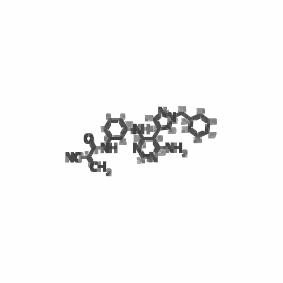 C=C(C#N)C(=O)Nc1cccc(Nc2ncnc(N)c2-c2cnn(Cc3ccccc3)c2)c1